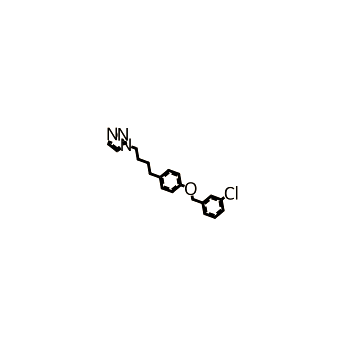 Clc1cccc(COc2ccc(CCCCn3ccnn3)cc2)c1